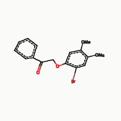 COc1cc(Br)c(OCC(=O)c2ccccc2)cc1OC